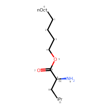 CCCCCCCCCCCCOC(=O)[C@@H](N)CC(C)C